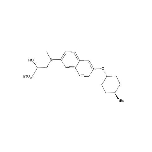 CCOC(=O)C(O)CN(C)c1ccc2cc(O[C@H]3CC[C@H](C(C)(C)C)CC3)ccc2c1